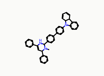 CN1C(c2ccccc2)C=C(c2ccccc2)NC1c1ccc(-c2ccc(N3c4ccccc4C4C=CC=CC43)cc2)cc1